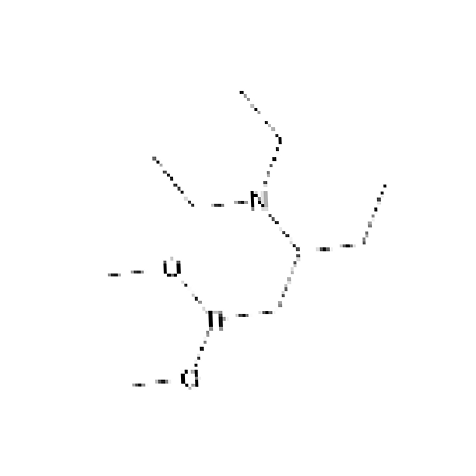 CCC([CH2][Ti]([O]C)[O]C)N(CC)CC